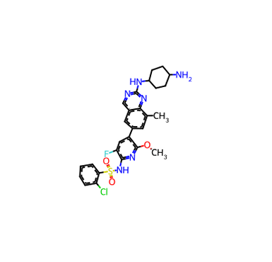 COc1nc(NS(=O)(=O)c2ccccc2Cl)c(F)cc1-c1cc(C)c2nc(NC3CCC(N)CC3)ncc2c1